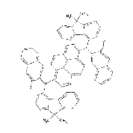 CC1(C)c2ccccc2-c2c(N(c3cc4ccccc4cc3F)c3ccc4ccc5c(N(c6cc7ccccc7cc6F)c6cccc7c6-c6ccccc6C7(C)C)ccc6ccc3c4c65)cccc21